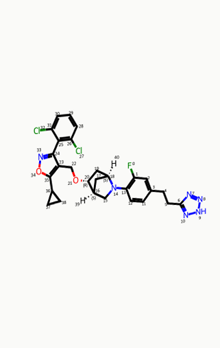 Fc1cc(CCc2nn[nH]n2)ccc1N1C[C@@H]2C[C@H]1C[C@H]2OCc1c(-c2c(Cl)cccc2Cl)noc1C1CC1